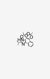 CC(=O)Oc1c(OC(C)=O)c2[nH]c(C(C)C)nc2c2ccccc12